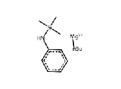 CCC[CH2][Mg+2].C[Si](C)(C)Nc1ccccc1